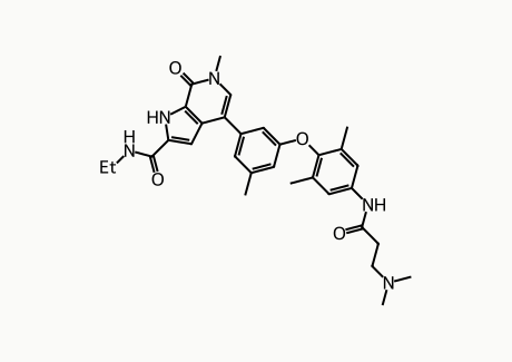 CCNC(=O)c1cc2c(-c3cc(C)cc(Oc4c(C)cc(NC(=O)CCN(C)C)cc4C)c3)cn(C)c(=O)c2[nH]1